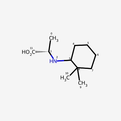 C[C@H](NC1CCCCC1(C)C)C(=O)O